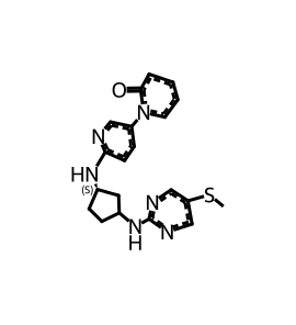 CSc1cnc(NC2CC[C@H](Nc3ccc(-n4ccccc4=O)cn3)C2)nc1